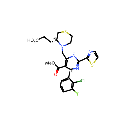 COC(=O)C1=C(CN2CCSC[C@H]2CCC(=O)O)NC(c2nccs2)=N[C@H]1c1cccc(F)c1Cl